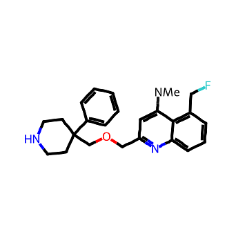 CNc1cc(COCC2(c3ccccc3)CCNCC2)nc2cccc(CF)c12